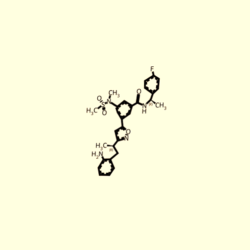 C[C@H](Cc1ccccc1N)c1cc(-c2cc(C(=O)N[C@H](C)c3ccc(F)cc3)cc(N(C)S(C)(=O)=O)c2)on1